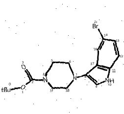 CC(C)(C)OC(=O)N1CCN(c2c[nH]c3ccc(Br)cc23)CC1